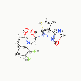 O=C(Cn1c(=O)ccc2ccc(F)c(F)c21)Nc1sccc1-c1ncon1